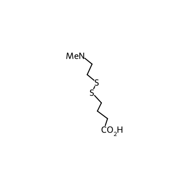 CNCCSSCCCC(=O)O